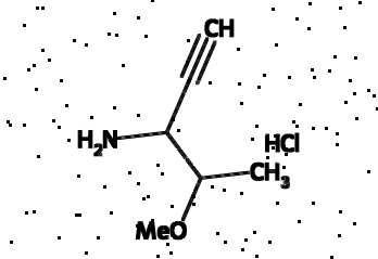 C#CC(N)C(C)OC.Cl